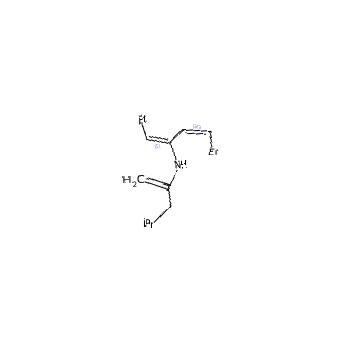 C=C(CC(C)C)NC(/C=C\CC)=C/CC